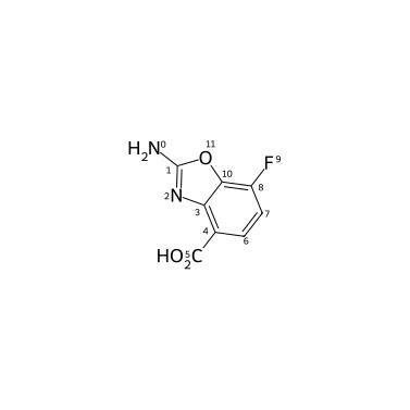 Nc1nc2c(C(=O)O)ccc(F)c2o1